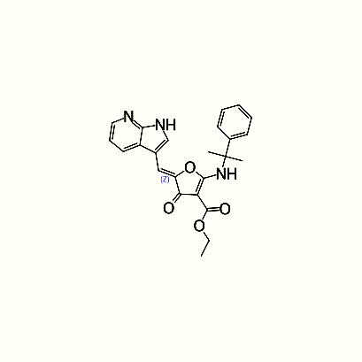 CCOC(=O)C1=C(NC(C)(C)c2ccccc2)O/C(=C\c2c[nH]c3ncccc23)C1=O